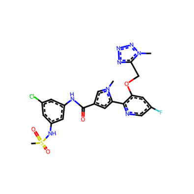 Cn1cc(C(=O)Nc2cc(Cl)cc(NS(C)(=O)=O)c2)cc1-c1ncc(F)cc1OCc1nnnn1C